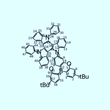 CC(C)(C)c1ccc2c(c1)Oc1cc(-n3c4ccccc4c4c5c(c6ccccc6n5-c5ccccc5)c5c(c6ccccc6n5-c5ccccc5)c43)cc3c1B2c1ccc(C(C)(C)C)cc1O3